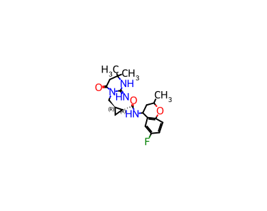 CC1CC(NC(=O)[C@@H]2C[C@H]2CN2C(=N)NC(C)(C)CC2=O)c2cc(F)ccc2O1